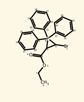 CCOC(=O)C1C(Br)P1(c1ccccc1)(c1ccccc1)c1ccccc1